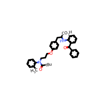 Cc1ccccc1N(CCCOc1ccc(CC(Nc2ccccc2C(=O)c2ccccc2)C(=O)O)cc1)C(=O)C(C)(C)C